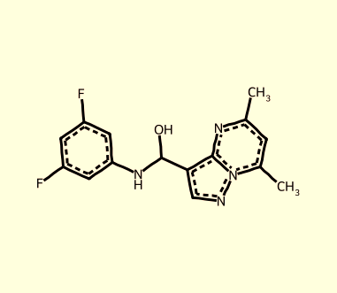 Cc1cc(C)n2ncc(C(O)Nc3cc(F)cc(F)c3)c2n1